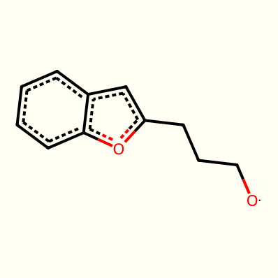 [O]CCCc1cc2ccccc2o1